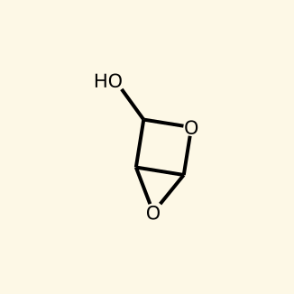 OC1OC2OC12